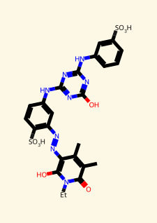 CCn1c(O)c(N=Nc2cc(Nc3nc(O)nc(Nc4cccc(S(=O)(=O)O)c4)n3)ccc2S(=O)(=O)O)c(C)c(C)c1=O